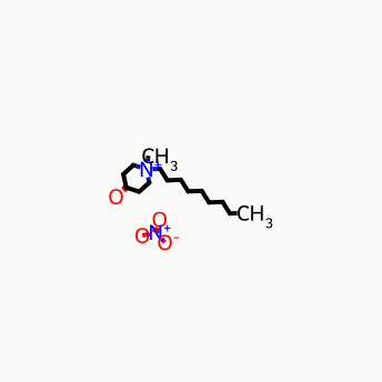 CCCCCCCCC[N+]1(C)CCC(=O)CC1.O=[N+]([O-])[O-]